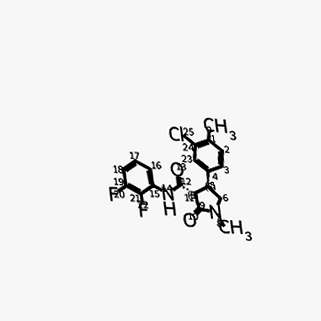 Cc1ccc([C@H]2CN(C)C(=O)[C@@H]2C(=O)Nc2cccc(F)c2F)cc1Cl